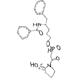 O=C(NC(CCCO[PH](=O)CC(=O)N1CCC[C@H]1C(=O)O)Cc1ccccc1)c1ccccc1